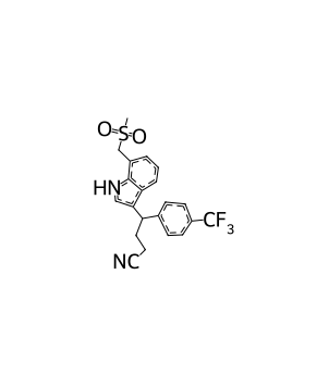 CS(=O)(=O)Cc1cccc2c(C(CCC#N)c3ccc(C(F)(F)F)cc3)c[nH]c12